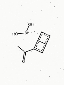 CC(=O)c1cc2ccc1-2.OBO